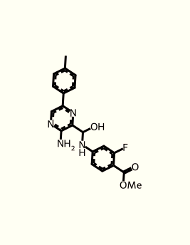 COC(=O)c1ccc(NC(O)c2nc(-c3ccc(C)cc3)cnc2N)cc1F